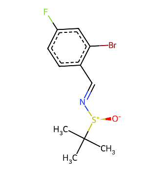 CC(C)(C)[S@+]([O-])/N=C/c1ccc(F)cc1Br